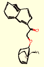 O=C(COC1CC2C=C[C@@H]1C2)c1ccc2ccccc2c1